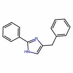 c1ccc(Cc2c[nH]c(-c3ccccc3)n2)cc1